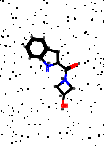 O=C(C1Cc2ccccc2N1)N1CC(O)C1